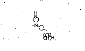 COC(Cc1ccc(NC2CCNCC2)cc1)OC